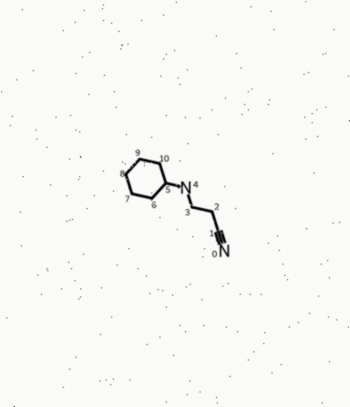 N#CCC[N]C1CCCCC1